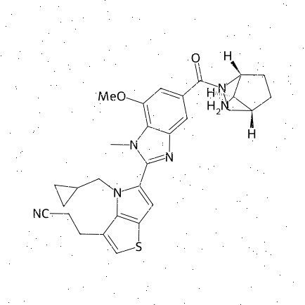 COc1cc(C(=O)N2C[C@H]3CC[C@@H]2[C@@H]3N)cc2nc(-c3cc4scc(CCC#N)c4n3CC3CC3)n(C)c12